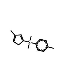 CC1=CCC([Si](C)(C)c2ccc(C)cc2)=C1